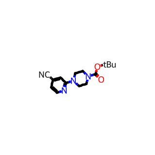 CC(C)(C)OC(=O)N1CCN(c2cc(C#N)ccn2)CC1